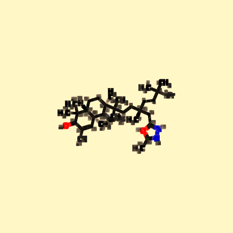 CCCC(C)(C)CC[C@@](C)(CCC(C)(C)[C@]1(C)CC[C@H]2C(C)(C)C(=O)C(C#N)=C[C@]2(C)/C1=C/C(C)=O)Cc1nnc(C)o1